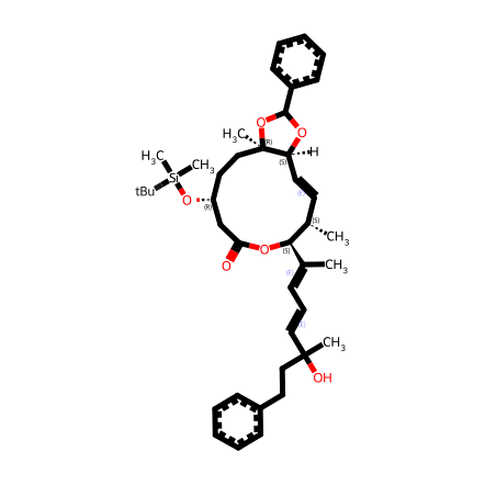 C/C(=C\C=C\C(C)(O)CCc1ccccc1)[C@H]1OC(=O)C[C@H](O[Si](C)(C)C(C)(C)C)CC[C@@]2(C)OC(c3ccccc3)O[C@H]2/C=C/[C@@H]1C